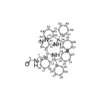 Cn1ncc(C(CCNC=O)NC(c2ccccc2)(c2ccccc2)c2ccccc2)c1NC(c1ccccc1)(c1ccccc1)c1ccccc1